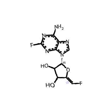 Nc1nc(F)nc2c1ncn2[C@@H]1O/C(=C\F)C(O)C1O